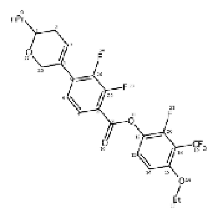 CCCC1CC=C(c2ccc(C(=O)Oc3ccc(OCC)c(C(F)(F)F)c3F)c(F)c2F)CO1